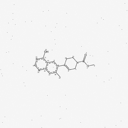 COC(=O)C1CC=C(c2cc3c(O)ncnc3cc2C)CC1